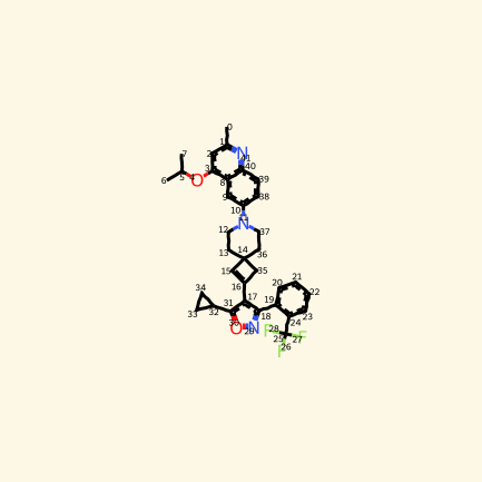 Cc1cc(OC(C)C)c2cc(N3CCC4(C=C(c5c(-c6ccccc6C(F)(F)F)noc5C5CC5)C4)CC3)ccc2n1